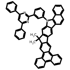 CC1(C)c2cc3c4ccccc4c4ccccc4c3cc2-c2cc3c4ccc5ccccc5c4n(-c4cccc(-c5nc(-c6ccccc6)cc(-c6ccccc6)n5)c4)c3cc21